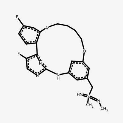 CN=S(C)(=N)Cc1cc2cc(c1)OCCCCOc1cc(F)ccc1-c1nc(ncc1F)N2